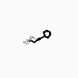 C[SiH](C)CC#Cc1ccccc1